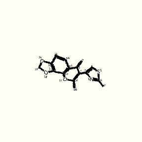 C=C1C(c2csc(C)n2)=C(C)Oc2c1ccc1c2OCO1